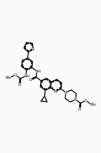 CC(C)(C)OC(=O)Nc1ccc(-c2cccs2)cc1NC(=O)c1cc(C2CC2)c2nc(N3CCN(C(=O)OC(C)(C)C)CC3)ccc2c1